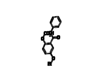 CCOc1ccc(OC(=O)O)c(C(=O)Oc2ccccc2)c1